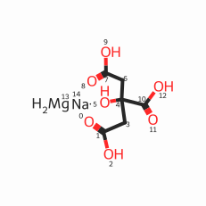 O=C(O)CC(O)(CC(=O)O)C(=O)O.[MgH2].[Na]